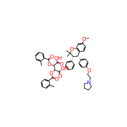 COc1ccc2c(c1)OC(C)(C)[C@@H](c1ccccc1)[C@H]2c1ccc(OCCN2CCCC2)cc1.Cc1ccccc1C(=O)OC(C(=O)O)C(OC(=O)c1ccccc1C)C(=O)O